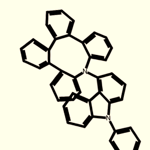 c1ccc(-n2c3ccccc3c3c(-n4c5ccccc5c5ccccc5c5ccccc5c5ccccc54)cccc32)cc1